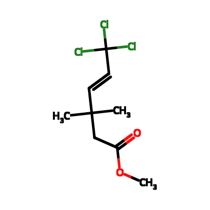 COC(=O)CC(C)(C)C=CC(Cl)(Cl)Cl